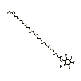 CCCOCCOCCOCCOCCOCCOCCOCCOCCC(=O)Oc1c(F)c(F)c(F)c(F)c1CC